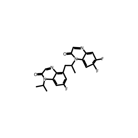 CC(C)n1c(=O)cnc2c(CC(C)n3c(=O)cnc4cc(F)c(F)cc43)cc(F)cc21